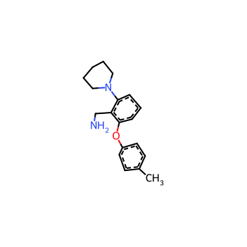 Cc1ccc(Oc2cccc(N3CCCCC3)c2CN)cc1